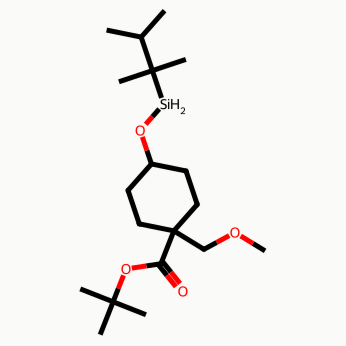 COCC1(C(=O)OC(C)(C)C)CCC(O[SiH2]C(C)(C)C(C)C)CC1